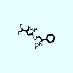 CON=C(COc1cc(C(F)F)nn1C)c1ccccc1